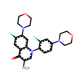 O=C(O)c1cn(-c2ccc(N3CCOCC3)cc2F)c2cc(N3CCOCC3)c(F)cc2c1=O